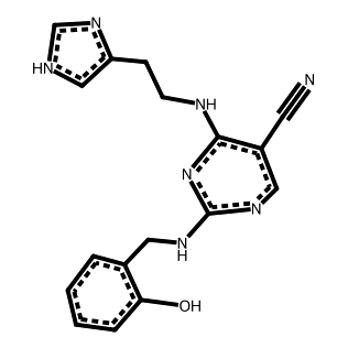 N#Cc1cnc(NCc2ccccc2O)nc1NCCc1c[nH]cn1